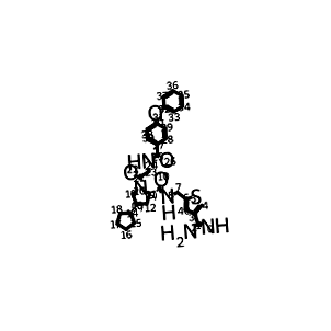 N=C(N)c1csc(CNC(=O)[C@@H]2C[C@H](C3CCCC3)CN2C(=O)CNC(=O)c2ccc(Oc3ccccc3)cc2)c1